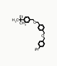 CCC(C)(C)c1ccc(COCc2ccc(COCc3ccc(C(C)C)cc3)cc2)cc1